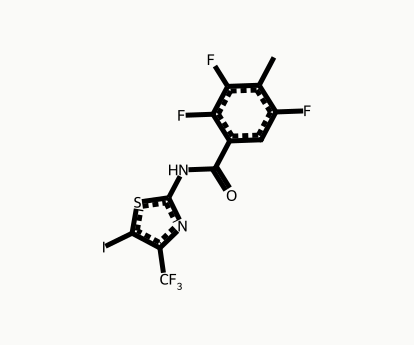 Cc1c(F)cc(C(=O)Nc2nc(C(F)(F)F)c(I)s2)c(F)c1F